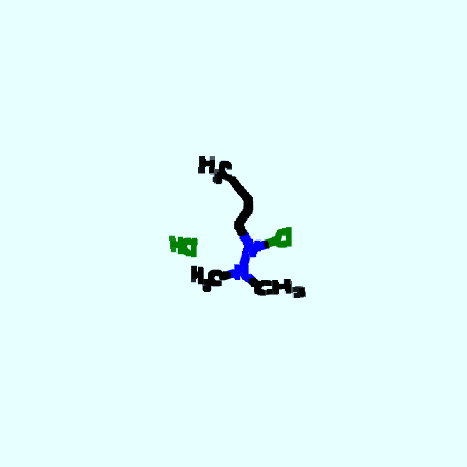 CCCN(Cl)N(C)C.Cl